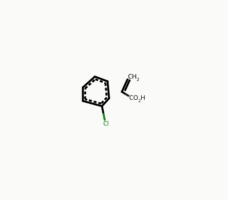 C=CC(=O)O.Clc1ccccc1